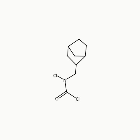 O=C(Cl)N(Cl)CC1CC2CCC1C2